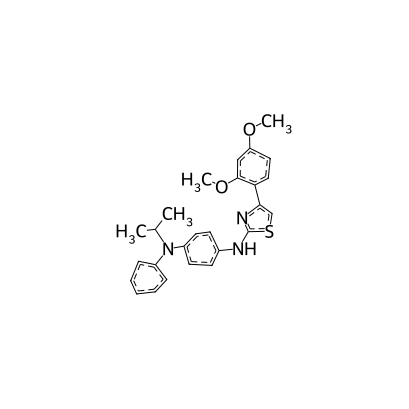 COc1ccc(-c2csc(Nc3ccc(N(c4ccccc4)C(C)C)cc3)n2)c(OC)c1